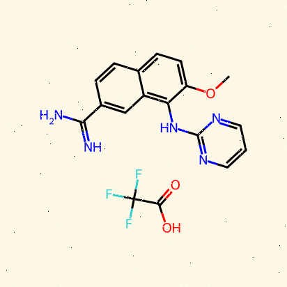 COc1ccc2ccc(C(=N)N)cc2c1Nc1ncccn1.O=C(O)C(F)(F)F